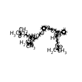 C=C(C)C(=O)OCCCNC(=O)OC(COCCOc1cccc(OCCOCC(COc2ccccc2)OC(=O)NCCCOC(=O)C(=C)C)c1)COC(=O)C(=C)C